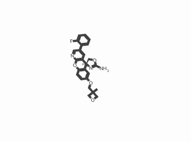 CC1(COc2ccc3c(c2)[C@]2(COC(N)=N2)c2cc(-c4ccccc4F)cnc2O3)COC1